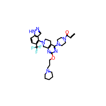 C=CC(=O)N1CCN(c2nc(OCCCN3CCCCC3)nc3c2CCN(c2c(C(F)(F)F)ccc4[nH]ncc24)C3)CC1